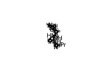 Cc1cc(C(=O)N[C@@H](Cc2ccccc2)[C@H](O)CNCc2cncc(C(C)C)c2)cc(C(=O)N2CCC[C@@H]2c2nc(C)cs2)c1